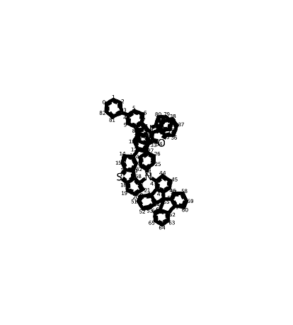 c1ccc(-c2ccc3c(c2)c2cc(-c4ccc5sc6cccc(N(c7ccc(-c8cccc9c8oc8ccccc89)cc7)c7cccc8c7-c7ccccc7C87c8ccccc8-c8ccccc87)c6c5c4)ccc2n3-c2ccccc2)cc1